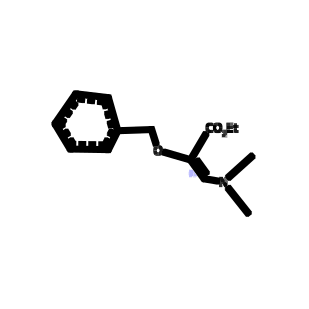 CCOC(=O)/C(=C\N(C)C)OCc1ccccc1